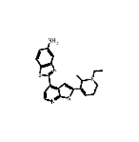 CCN1CCC=C(c2cc3c(-c4nc5cc(N)ccc5s4)ccnc3s2)C1C